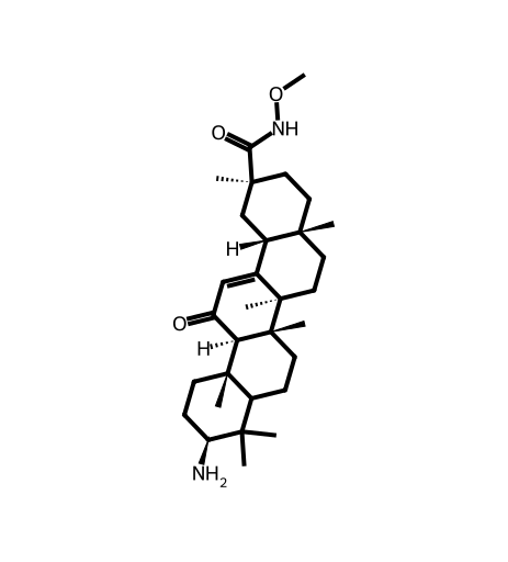 CONC(=O)[C@@]1(C)CC[C@]2(C)CC[C@]3(C)C(=CC(=O)[C@@H]4[C@@]5(C)CC[C@H](N)C(C)(C)C5CC[C@]43C)[C@@H]2C1